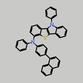 c1ccc(N(c2ccc(-c3cccc4ccccc34)cc2)c2cccc3c2sc2c4ccccc4n(-c4ccccc4)c32)cc1